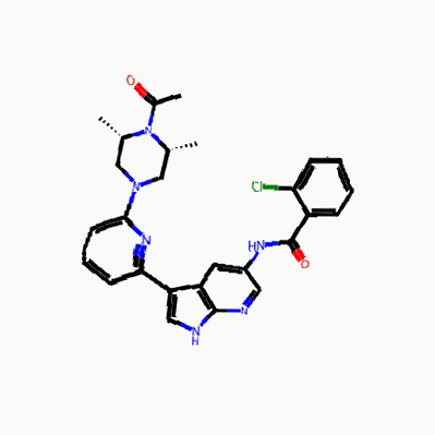 CC(=O)N1[C@H](C)CN(c2cccc(-c3c[nH]c4ncc(NC(=O)c5ccccc5Cl)cc34)n2)C[C@@H]1C